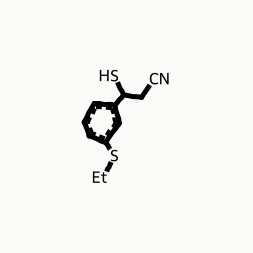 CCSc1cccc(C(S)CC#N)c1